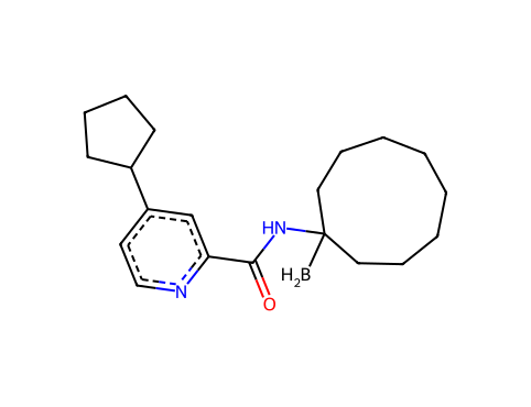 BC1(NC(=O)c2cc(C3CCCC3)ccn2)CCCCCCCC1